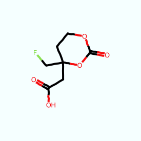 O=C(O)CC1(CF)CCOC(=O)O1